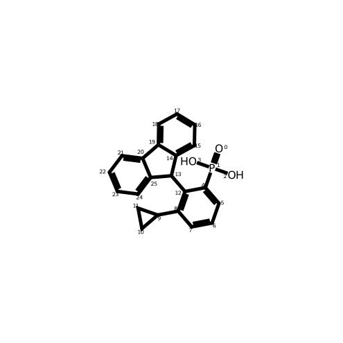 O=P(O)(O)c1cccc(C2CC2)c1C1c2ccccc2-c2ccccc21